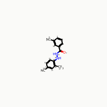 N#Cc1cccc(C(=O)NNc2ccc(C#N)cc2C(F)(F)F)c1